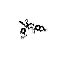 C=CCn1c(=O)c2cnc(Nc3ccc4c(c3)CNCC4)nc2n1-c1ccnc(N(C)C(C)C)c1